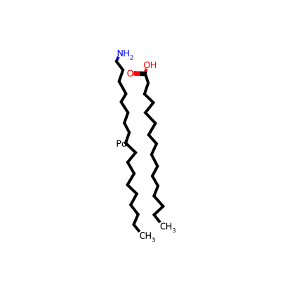 CCCCCCCCCCCCCCCC(=O)O.CCCCCCCCCCCCCCCCCCN.[Pd]